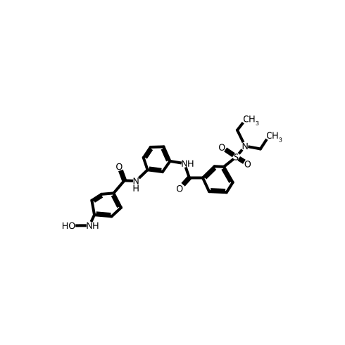 CCN(CC)S(=O)(=O)c1cccc(C(=O)Nc2cccc(NC(=O)c3ccc(NO)cc3)c2)c1